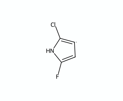 Fc1c[c]c(Cl)[nH]1